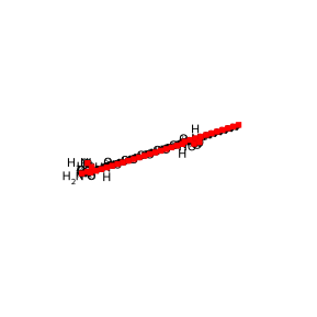 CCCCCCCCCCCCCCCC(=O)NC(CCC(=O)NCCOCCOCCOCCOCCOCCOCCOCCOCCC(=O)NCCCC[C@H](PPSN)C(=O)NCC(N)=O)C(=O)O